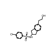 O=S(=O)(NC1Cc2ccc(CCO)cc2C1)c1ccc(Cl)cc1